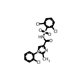 Cc1nc(C(=O)NS(=O)(=O)c2c(Cl)cccc2Cl)cn1-c1ccccc1Cl